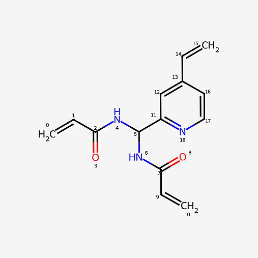 C=CC(=O)NC(NC(=O)C=C)c1cc(C=C)ccn1